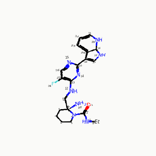 CCNC(=O)N1CCCC[C@]1(N)CNc1nc(C2=CNC3NC=CC=C23)ncc1F